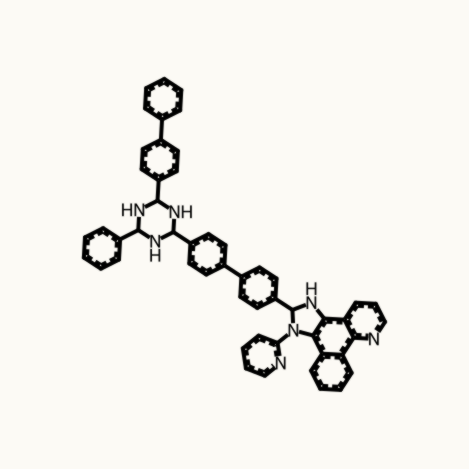 c1ccc(-c2ccc(C3NC(c4ccccc4)NC(c4ccc(-c5ccc(C6Nc7c(c8ccccc8c8ncccc78)N6c6ccccn6)cc5)cc4)N3)cc2)cc1